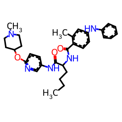 CCCCC(NC(=O)c1ccc(Nc2ccccc2)cc1C)C(=O)Nc1ccc(OC2CCN(C)CC2)nc1